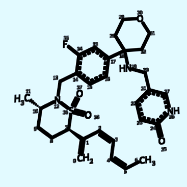 C=C(/C=C\C=C/C)[C@H]1CC[C@H](C)N(Cc2ccc(C3(NCc4ccc(=O)[nH]c4)CCOCC3)cc2F)S1(=O)=O